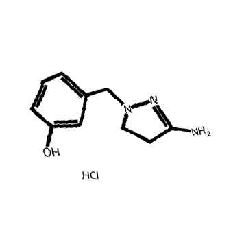 Cl.NC1=NN(Cc2cccc(O)c2)CC1